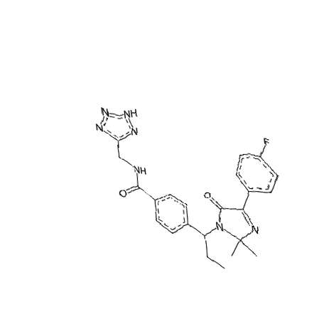 CCC(c1ccc(C(=O)NCc2nn[nH]n2)cc1)N1C(=O)C(c2ccc(F)cc2)=NC1(C)C